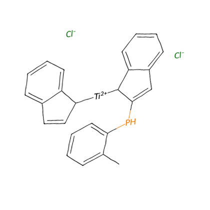 Cc1ccccc1PC1=Cc2ccccc2[CH]1[Ti+2][CH]1C=Cc2ccccc21.[Cl-].[Cl-]